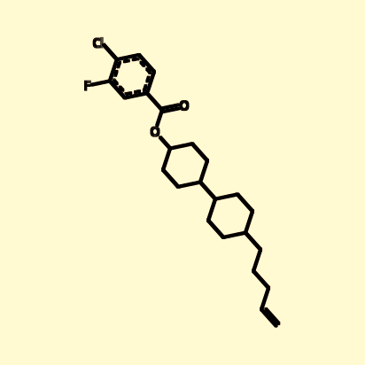 C=CCCCC1CCC(C2CCC(OC(=O)c3ccc(Cl)c(F)c3)CC2)CC1